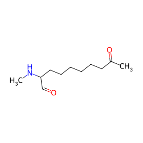 CNC(C=O)CCCCCCC(C)=O